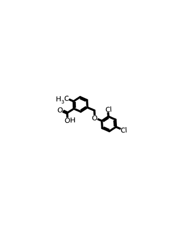 Cc1ccc(COc2ccc(Cl)cc2Cl)cc1C(=O)O